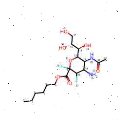 CCCCCCOC(=O)C1(F)OC([C@H](O)[C@H](O)CO)C(NC(C)=O)C(N)C1F